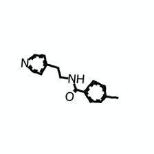 Cc1ccc(C(=O)NCCc2ccncc2)cc1